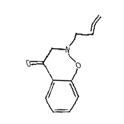 C=CCN1CC(=O)c2ccccc2O1